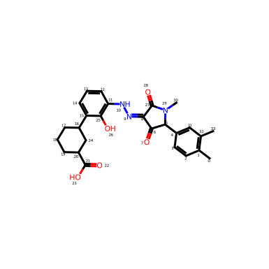 Cc1ccc(C2C(=O)/C(=N/Nc3cccc(C4CCCC(C(=O)O)C4)c3O)C(=O)N2C)cc1C